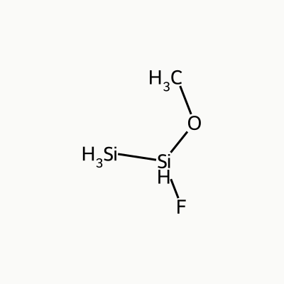 CO[SiH](F)[SiH3]